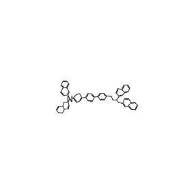 C1=CC2CC(N(C3=CC=C(c4ccc(-c5ccc(CCC(Cc6ccc7ccccc7c6)c6ccc7ccccc7c6)cc5)cc4)CC3)c3ccc4ccccc4c3)C=CC2CC1